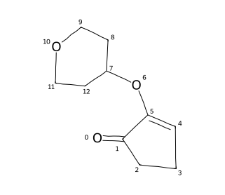 O=C1CCC=C1OC1CCOCC1